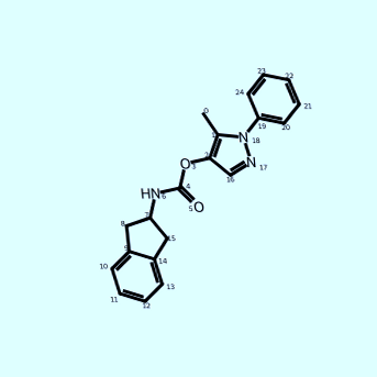 Cc1c(OC(=O)NC2Cc3ccccc3C2)cnn1-c1ccccc1